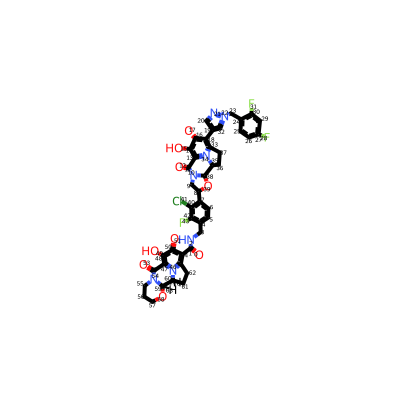 O=C(NCc1ccc(C2CN3C(=O)c4c(O)c(=O)c(-c5cnn(Cc6ccc(F)cc6F)c5)c5n4C(CC5)C3O2)c(Cl)c1F)c1c2n3c(c(O)c1=O)C(=O)N1CCCO[C@H]1[C@H]3CC2